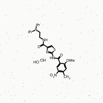 COc1cc(C)c([N+](=O)[O-])cc1C(=O)Nc1nc(C(=O)NCCN(C(C)C)C(C)C)cs1.Cl.Cl